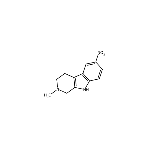 CN1CCc2c([nH]c3ccc([N+](=O)[O-])cc23)C1